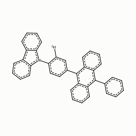 [2H]c1cc(-c2c3ccccc3c(-c3ccccc3)c3ccccc23)ccc1-n1c2ccccc2c2ccccc21